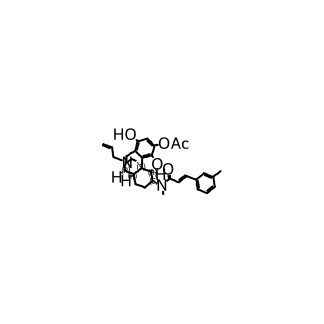 C=CCN1CC[C@]23c4c5c(O)cc(OC(C)=O)c4O[C@H]2[C@@H](N(C)C(=O)C=Cc2cccc(C)c2)CC[C@H]3[C@H]1C5